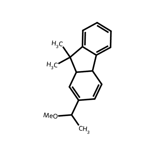 COC(C)C1=CC2C(C=C1)c1ccccc1C2(C)C